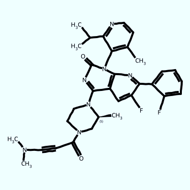 Cc1ccnc(C(C)C)c1-n1c(=O)nc(N2CCN(C(=O)C#CN(C)C)C[C@@H]2C)c2cc(F)c(-c3ccccc3F)nc21